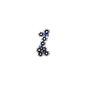 c1ccc(-n2c(-c3ccc(-c4ccc(-c5nc6ccccc6c6c5ccc5c7ccccc7n(-c7ccccc7)c56)cc4)cc3)nc3ccccc32)cc1